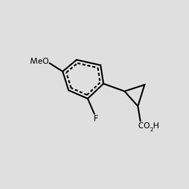 COc1ccc(C2CC2C(=O)O)c(F)c1